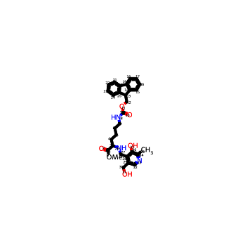 COC(=O)C(CCCCNC(=O)OCC1c2ccccc2-c2ccccc21)NCc1c(CO)cnc(C)c1O